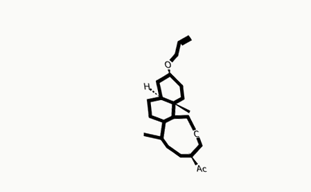 C=CCO[C@@H]1CC[C@]2(C)C3CCC[C@@H](C(C)=O)CCC(C)C3CC[C@H]2C1